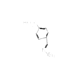 CCC(C)/N=C/c1ccc(C(=O)O)cc1